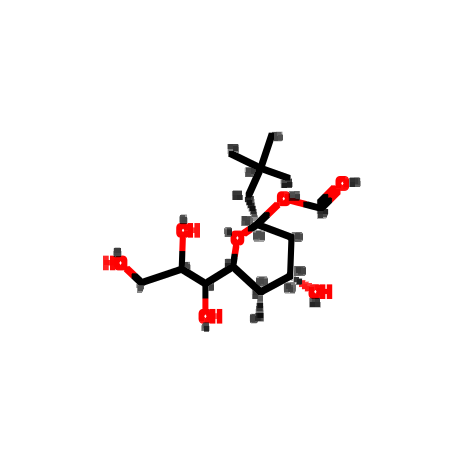 C[C@@H]1C(C(O)C(O)CO)O[C@@](CC(C)(C)C)(OC=O)C[C@@H]1O